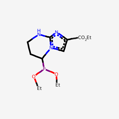 CCOC(=O)c1cn2c(n1)NCCC2P(OCC)OCC